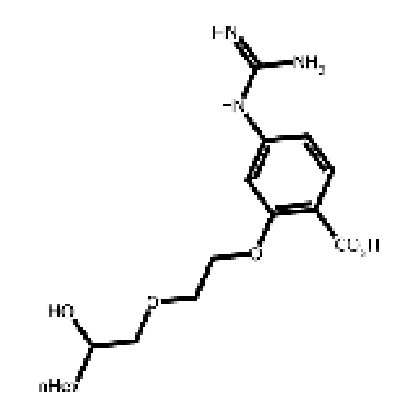 CCCCCCC(O)COCCOc1cc(NC(=N)N)ccc1C(=O)O